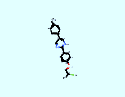 CCCCc1ccc(-c2cnc(-c3ccc(OCC(F)CC)cc3)nc2)cc1